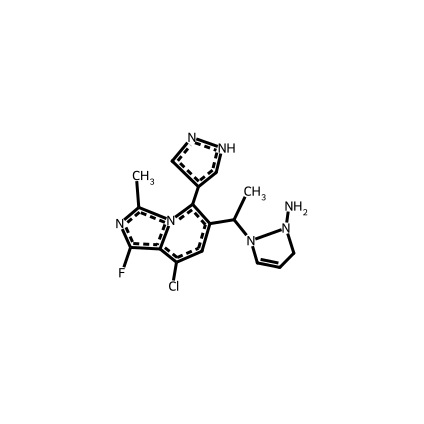 Cc1nc(F)c2c(Cl)cc(C(C)N3C=CCN3N)c(-c3cn[nH]c3)n12